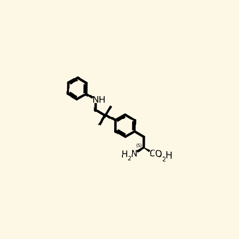 CC(C)(CNc1ccccc1)c1ccc(C[C@H](N)C(=O)O)cc1